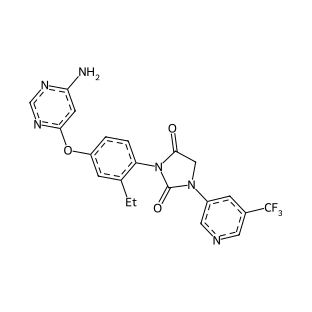 CCc1cc(Oc2cc(N)ncn2)ccc1N1C(=O)CN(c2cncc(C(F)(F)F)c2)C1=O